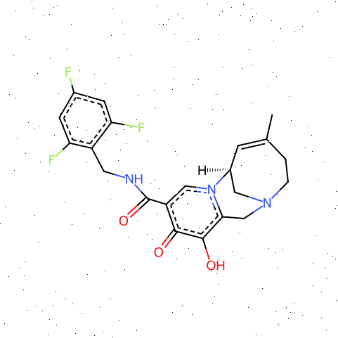 CC1=C[C@H]2CN(CC1)Cc1c(O)c(=O)c(C(=O)NCc3c(F)cc(F)cc3F)cn12